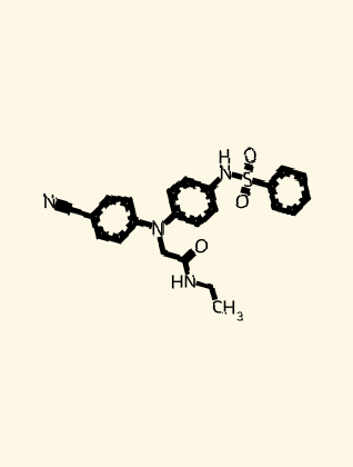 CCNC(=O)CN(c1ccc(C#N)cc1)c1ccc(NS(=O)(=O)c2ccccc2)cc1